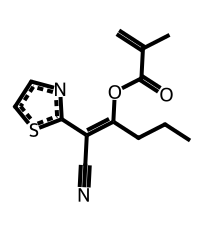 C=C(C)C(=O)OC(CCC)=C(C#N)c1nccs1